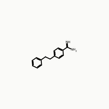 N=C(N)c1ccc(C[CH]c2ccccc2)cc1